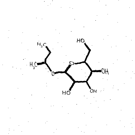 CCC(C)OC1OC(CO)C(O)C(O)C1O